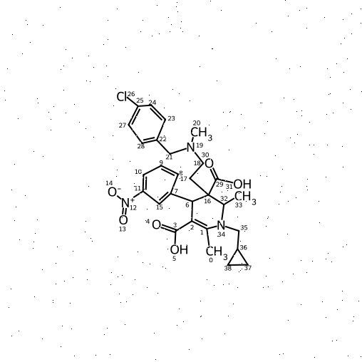 CC1=C(C(=O)O)C(c2cccc([N+](=O)[O-])c2)C(CCN(C)Cc2ccc(Cl)cc2)(C(=O)O)C(C)N1CC1CC1